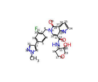 Cn1cc(-c2ccc(Cn3cc(C(=O)N[C@H]4CCOC[C@@H]4O)c4ncccc4c3=O)c(F)c2)cn1